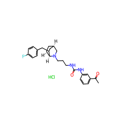 CC(=O)c1cccc(NC(=O)NCCCN2C[C@@H]3CC[C@H]2[C@@H](Cc2ccc(F)cc2)C3)c1.Cl